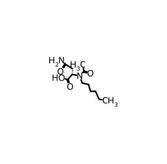 CCCCCCN(C(C)=O)[C@@H](CC(N)=O)C(=O)O